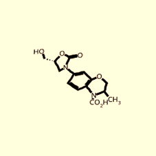 CC1COc2cc(N3C[C@H](CO)OC3=O)ccc2N1C(=O)O